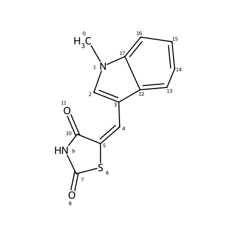 Cn1cc(/C=C2/SC(=O)NC2=O)c2ccccc21